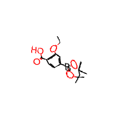 CCOc1cc(B2OC(C)(C)C(C)(C)O2)ccc1C(=O)O